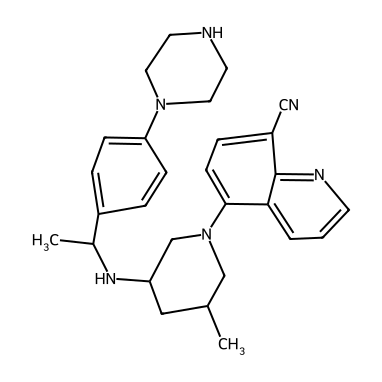 CC1CC(NC(C)c2ccc(N3CCNCC3)cc2)CN(c2ccc(C#N)c3ncccc23)C1